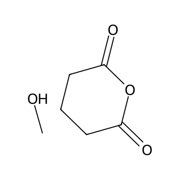 CO.O=C1CCCC(=O)O1